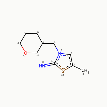 Cc1cn(CC2CCCOC2)c(=N)s1